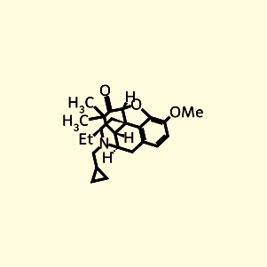 CC[C@@H]1[C@H]2[C@H]3Cc4ccc(OC)c5c4[C@@]2(CCN3CC2CC2)[C@@H](O5)C(=O)C1(C)C